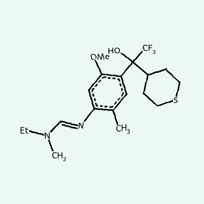 CCN(C)/C=N/c1cc(OC)c(C(O)(C2CCSCC2)C(F)(F)F)cc1C